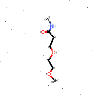 CC(C)NC(=O)CCOCCOC(C)C